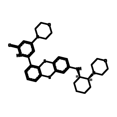 O=c1cc(N2CCOCC2)cc(-c2cccc3c2Sc2ccc(N[C@@H]4CCCC[C@@H]4N4CCOCC4)cc2S3)[nH]1